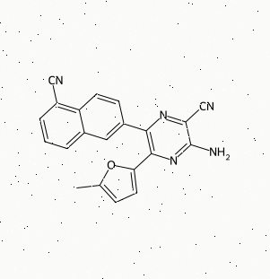 Cc1ccc(-c2nc(N)c(C#N)nc2-c2ccc3c(C#N)cccc3c2)o1